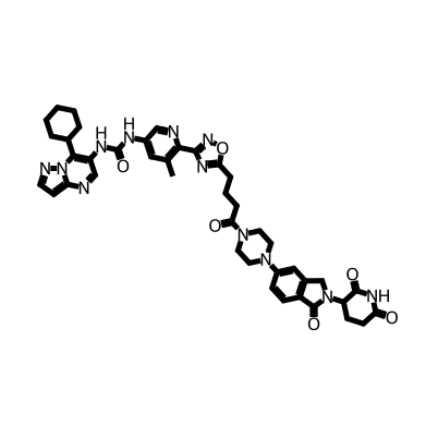 Cc1cc(NC(=O)Nc2cnc3ccnn3c2C2CCCCC2)cnc1-c1noc(CCCC(=O)N2CCN(c3ccc4c(c3)CN(C3CCC(=O)NC3=O)C4=O)CC2)n1